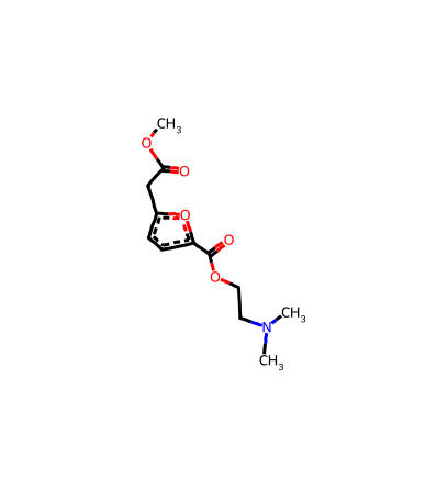 COC(=O)Cc1ccc(C(=O)OCCN(C)C)o1